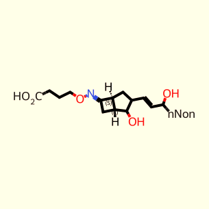 CCCCCCCCCC(O)C=CC1C[C@@H]2C(=NOCCCC(=O)O)C[C@H]2C1O